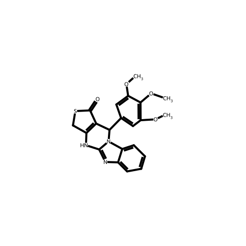 COc1cc(C2C3=C(CSC3=O)Nc3nc4ccccc4n32)cc(OC)c1OC